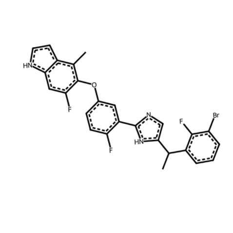 Cc1c(Oc2ccc(F)c(-c3ncc(C(C)c4cccc(Br)c4F)[nH]3)c2)c(F)cc2[nH]ccc12